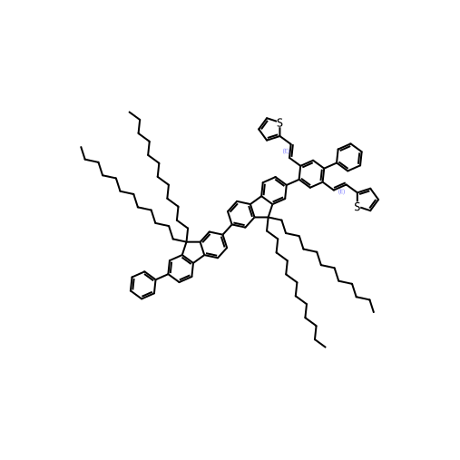 CCCCCCCCCCCCC1(CCCCCCCCCCCC)c2cc(-c3ccccc3)ccc2-c2ccc(-c3ccc4c(c3)C(CCCCCCCCCCCC)(CCCCCCCCCCCC)c3cc(-c5cc(/C=C/c6cccs6)c(-c6ccccc6)cc5/C=C/c5cccs5)ccc3-4)cc21